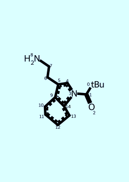 CC(C)(C)C(=O)n1cc(CCN)c2ccccc21